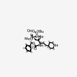 CC(C)(C)OC=O.COP(=O)(CC(=O)C(CCC1CCNCC1)NC(=O)OCc1ccccc1)OC